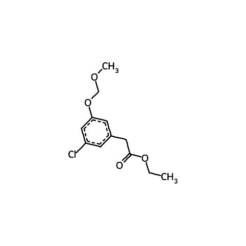 CCOC(=O)Cc1cc(Cl)cc(OCOC)c1